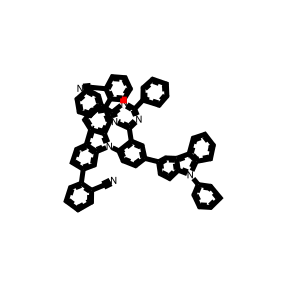 N#Cc1ccccc1-c1ccc2c3ccc(-c4ccccc4C#N)cc3n(-c3ccc(-c4ccc5c(c4)c4ccccc4n5-c4ccccc4)cc3-c3nc(-c4ccccc4)nc(-c4ccccc4)n3)c2c1